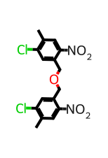 Cc1cc([N+](=O)[O-])c(COCc2cc(Cl)c(C)cc2[N+](=O)[O-])cc1Cl